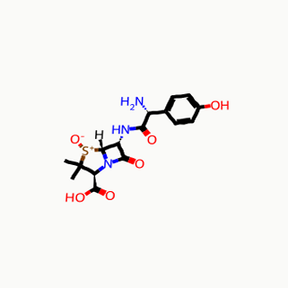 CC1(C)[C@H](C(=O)O)N2C(=O)[C@@H](NC(=O)[C@H](N)c3ccc(O)cc3)[C@H]2[S+]1[O-]